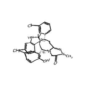 CN1N=C2C[C@@H](c3cccc(Cl)c3)[C@]3(C(=O)Nc4cc(Cl)ccc43)[C@@H](c3cc(I)ccc3O)N2CC1=O